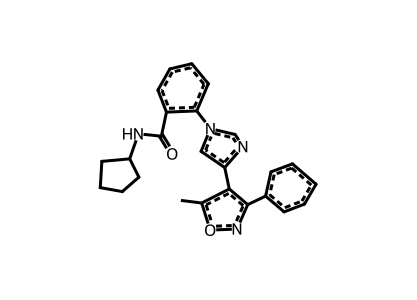 Cc1onc(-c2ccccc2)c1-c1cn(-c2ccccc2C(=O)NC2CCCC2)cn1